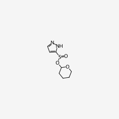 O=S(OC1CCCCO1)c1ccn[nH]1